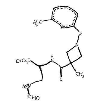 CCOC(=O)C(CNC=O)NC(=O)C1(C)CN(Sc2cccc(C)c2)C1